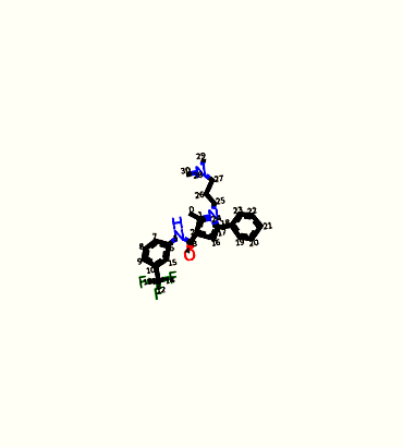 Cc1c(C(=O)Nc2cccc(C(F)(F)F)c2)cc(-c2ccccc2)n1CCCN(C)C